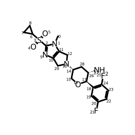 Cn1c(S(=O)(=O)C2CC2)nc2c1CN([C@H]1CO[C@H](c3cc(F)ccc3F)[C@@H](N)C1)C2